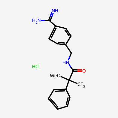 COC(C(=O)NCc1ccc(C(=N)N)cc1)(c1ccccc1)C(F)(F)F.Cl